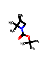 C=C1CN(C(=O)OC(C)(C)C)C1(C)C